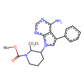 CCOC(=O)C1C(n2cc(-c3ccccc3)c3c(N)ncnc32)CCCN1C(=O)OC(C)(C)C